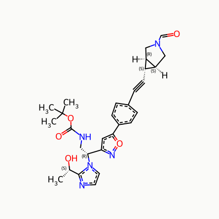 C[C@H](O)c1nccn1[C@H](CNC(=O)OC(C)(C)C)c1cc(-c2ccc(C#C[C@@H]3[C@H]4CN(C=O)C[C@@H]34)cc2)on1